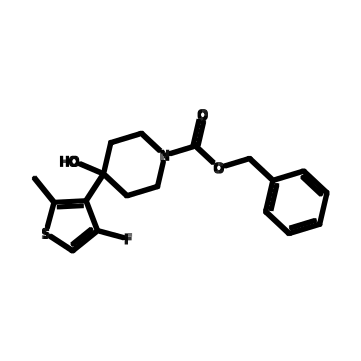 Cc1scc(F)c1C1(O)CCN(C(=O)OCc2ccccc2)CC1